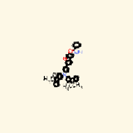 CC1(C)c2ccccc2-c2cc(N(c3ccc(-c4ccc5c(c4)oc4cc6c(cc45)NC(c4ccccc4)O6)cc3)c3ccc4c(c3)-c3ccccc3C4(C)C)ccc21